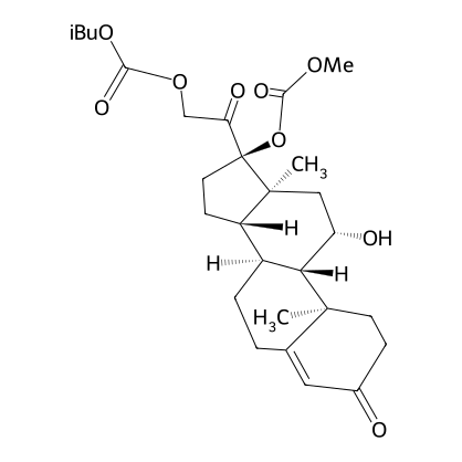 COC(=O)O[C@]1(C(=O)COC(=O)OCC(C)C)CC[C@H]2[C@@H]3CCC4=CC(=O)CC[C@]4(C)[C@H]3[C@@H](O)C[C@@]21C